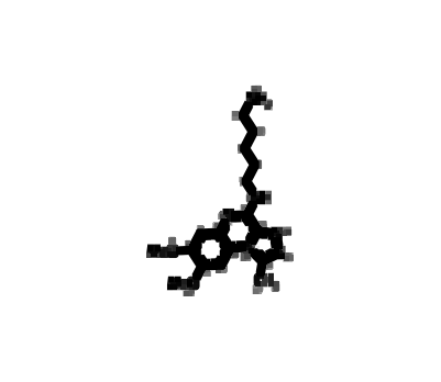 COc1cc2nc(NCCCCCN)c3nnc(C)n3c2cc1OC